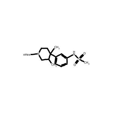 CCCCCCN1CCC(C)(c2cccc(NS(C)(=O)=O)c2)C(C)C1